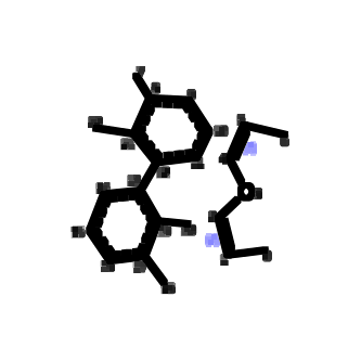 C/C=C\O/C=C\C.Cc1cccc(-c2cccc(C)c2C)c1C